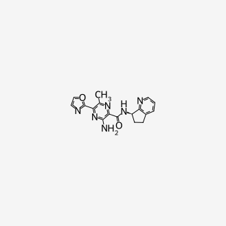 Cc1nc(C(=O)N[C@@H]2CCc3cccnc32)c(N)nc1-c1ncco1